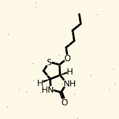 CCCCCOC1SC[C@H]2NC(=O)N[C@@H]12